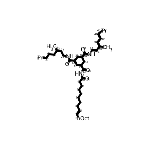 CCCCCCCCC=CCCCCCCCC(=O)NC(=O)C1CC(C(=O)NCCC(C)CCCC(C)C)CC(C(=O)NCCC(C)CCCC(C)C)C1